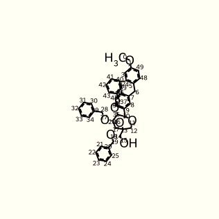 COc1ccc(Cc2cc(C34OCC(CO)(O3)[C@H](OCc3ccccc3)[C@H](OCc3ccccc3)C4OCc3ccccc3)ccc2F)cc1